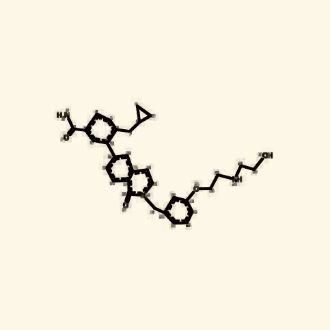 NC(=O)c1ccc(CC2CC2)c(-c2ccc3c(=O)n(Cc4cccc(OCCNCCO)c4)ccc3c2)c1